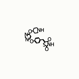 O=C1NC(=O)C(=Cc2ccc(Oc3cc(OC4CCNCC4)ncn3)cc2)S1